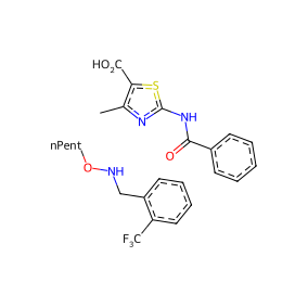 CCCCCONCc1ccccc1C(F)(F)F.Cc1nc(NC(=O)c2ccccc2)sc1C(=O)O